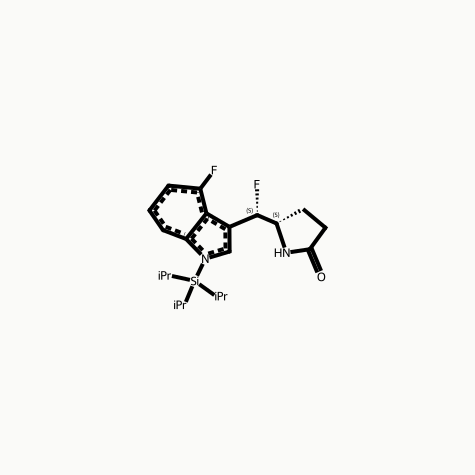 CC(C)[Si](C(C)C)(C(C)C)n1cc([C@H](F)[C@@H]2CCC(=O)N2)c2c(F)cccc21